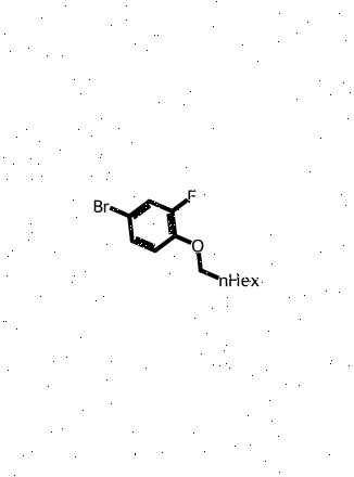 CCCCCCCOc1ccc(Br)cc1F